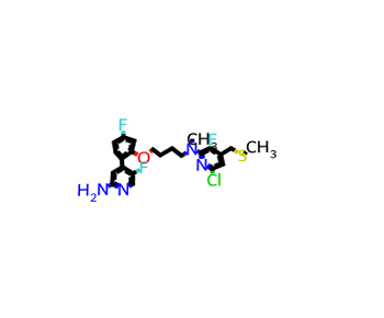 CSCc1cc(Cl)nc(N(C)CCCCOc2cc(F)ccc2-c2cc(N)ncc2F)c1F